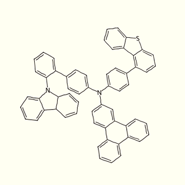 C1=CC2c3ccccc3N(c3ccccc3-c3ccc(N(c4ccc(-c5cccc6sc7ccccc7c56)cc4)c4ccc5c6ccccc6c6ccccc6c5c4)cc3)C2C=C1